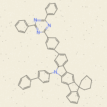 c1ccc(-c2ccc(-n3c4cc(-c5ccc(-c6nc(-c7ccccc7)nc(-c7ccccc7)n6)cc5)ccc4c4cc5c(cc43)-c3ccccc3C53CCCCC3)cc2)cc1